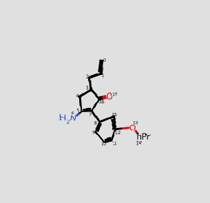 C=CCC1CC(N)=C(c2cccc(OCCC)c2)C1=O